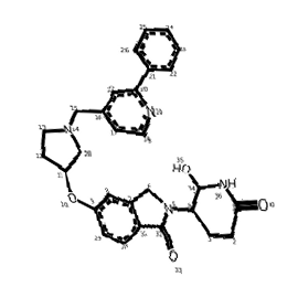 O=C1CCC(N2Cc3cc(O[C@H]4CCN(Cc5ccnc(-c6ccccc6)c5)C4)ccc3C2=O)C(O)N1